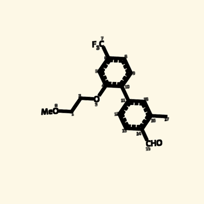 COCCOc1cc(C(F)(F)F)ccc1-c1ccc(C=O)c(C)c1